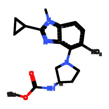 Cn1c(C2CC2)nc2c(N3CC[C@H](NC(=O)OC(C)(C)C)C3)c([N+](=O)[O-])ccc21